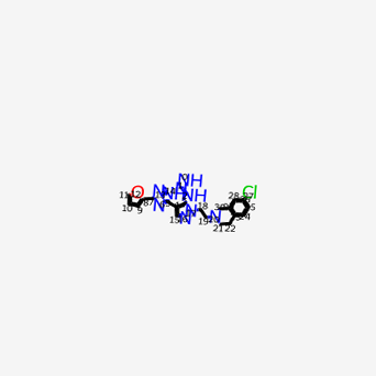 N=NNc1c(-c2nc(-c3ccco3)n[nH]2)cnn1CCN1CCc2ccc(Cl)cc2C1